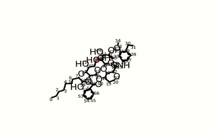 CCCCCCCC(OC1C(O)C(CO)OC(OC2CCOC(C(=O)Nc3ccc(CC)c(OC)c3)C2OC2OC=C(O)C(O)C2O)C1OC(=O)c1ccccc1)C(=O)O